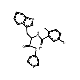 O=C(NC(Cc1c[nH]c2ccccc12)C(=O)Nc1ccncc1)c1cc(Br)ccc1F